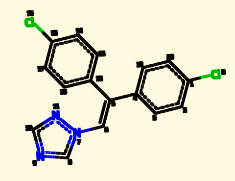 Clc1ccc(C(=Cn2cncn2)c2ccc(Cl)cc2)cc1